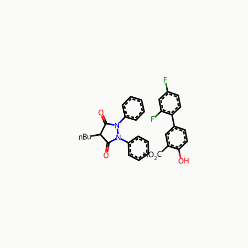 CCCCC1C(=O)N(c2ccccc2)N(c2ccccc2)C1=O.O=C(O)c1cc(-c2ccc(F)cc2F)ccc1O